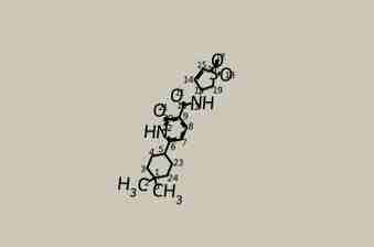 CC1(C)CCC(c2ccc(C(=O)N[C@@H]3C=CS(=O)(=O)C3)c(=O)[nH]2)CC1